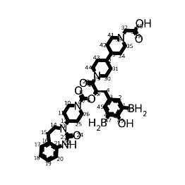 Bc1cc(C[C@@H](OC(=O)N2CCC(N3CCc4ccccc4NC3=O)CC2)C(=O)N2CCC(C3CCN(CC(=O)O)CC3)CC2)cc(B)c1O